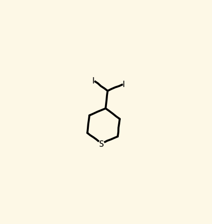 IC(I)C1CCSCC1